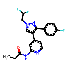 CCC(=O)Nc1cc(-c2cn(CC(F)F)nc2-c2ccc(F)cc2)ccn1